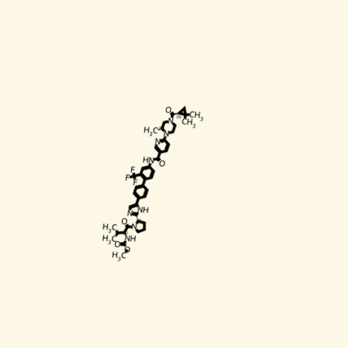 COC(=O)N[C@H](C(=O)N1CCC[C@H]1c1ncc(-c2ccc(-c3ccc(NC(=O)c4ccc(N5CCN(C(=O)[C@H]6CC6(C)C)C[C@H]5C)nc4)cc3C(F)(F)F)cc2)[nH]1)C(C)C